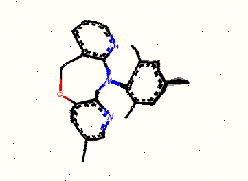 Cc1cc(C)c(N2c3ncccc3COc3cc(C)cnc32)c(C)c1